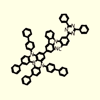 N#Cc1ccc(-c2nc(-c3ccccc3)nc(-c3ccccc3)n2)cc1-n1c2ccccc2c2cc(-c3cc4c5c(c3)N(c3ccc(-c6ccccc6)cc3)c3ccc(-c6ccccc6)cc3B5c3cc(-c5ccccc5)ccc3N4c3ccc(-c4ccccc4)cc3)ccc21